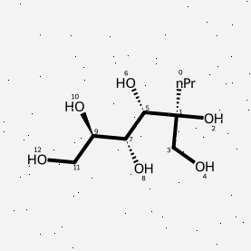 CCC[C@](O)(CO)[C@@H](O)[C@H](O)[C@H](O)CO